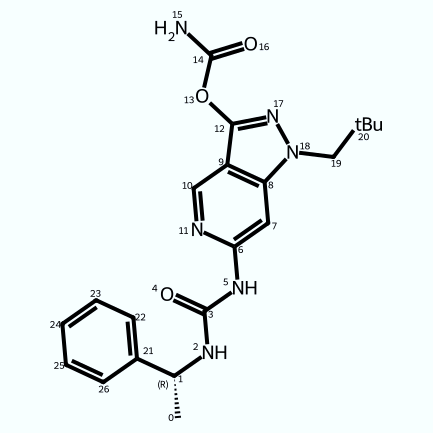 C[C@@H](NC(=O)Nc1cc2c(cn1)c(OC(N)=O)nn2CC(C)(C)C)c1ccccc1